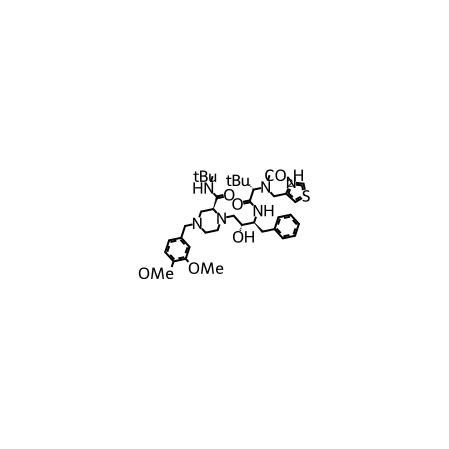 COc1ccc(CN2CCN(C[C@@H](O)[C@H](Cc3ccccc3)NC(=O)[C@@H](N(Cc3cscn3)C(=O)O)C(C)(C)C)[C@H](C(=O)NC(C)(C)C)C2)cc1OC